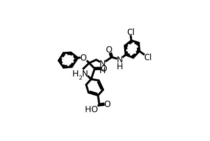 CC(CNC(=O)Nc1cc(Cl)cc(Cl)c1)(Oc1ccccc1)C(=O)C1(N)C=CC(C(=O)O)=CC1